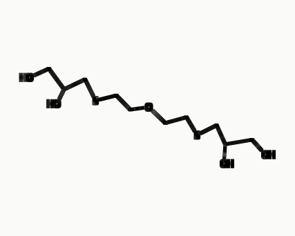 OCC(O)CSCCOCCSCC(O)CO